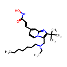 CCCCCCCN(CC)Cc1c(C(C)(C)C)nc2cc(C=CC(=O)NO)ccn12